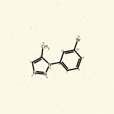 Cc1cnnn1-c1cccc(Br)c1